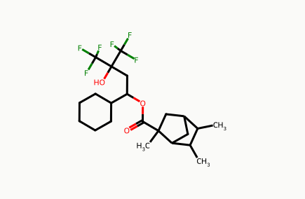 CC1C2CC(C1C)C(C)(C(=O)OC(CC(O)(C(F)(F)F)C(F)(F)F)C1CCCCC1)C2